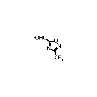 O=[C]c1nc(C(F)(F)F)no1